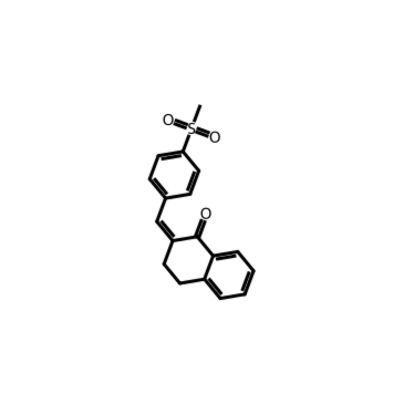 CS(=O)(=O)c1ccc(C=C2CCc3ccccc3C2=O)cc1